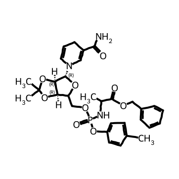 Cc1ccc(OP(=O)(NC(C)C(=O)OCc2ccccc2)OCC2O[C@@H](N3C=CCC(C(N)=O)=C3)[C@@H]3OC(C)(C)O[C@H]23)cc1